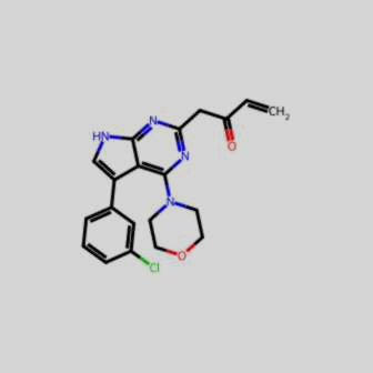 C=CC(=O)Cc1nc(N2CCOCC2)c2c(-c3cccc(Cl)c3)c[nH]c2n1